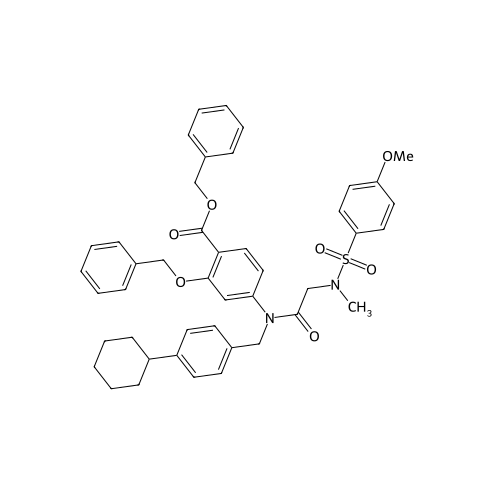 COc1ccc(S(=O)(=O)N(C)CC(=O)N(Cc2ccc(C3CCCCC3)cc2)c2ccc(C(=O)OCc3ccccc3)c(OCc3ccccc3)c2)cc1